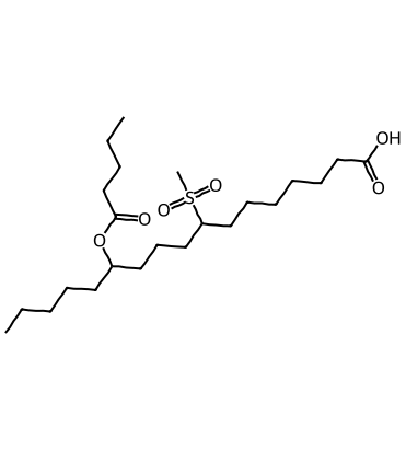 CCCCCC(CCCC(CCCCCCC(=O)O)S(C)(=O)=O)OC(=O)CCCC